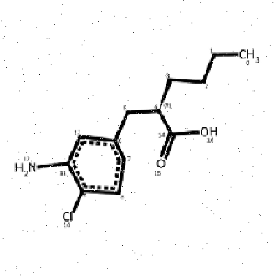 CCCC[C@H](Cc1ccc(Cl)c(N)c1)C(=O)O